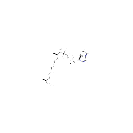 C=C(CCCCNCCC(=C)[C@H](O)C(C)(C)COP(=C)(C)OC1=C\CC/C=C(C#N)/C=C\1)OC